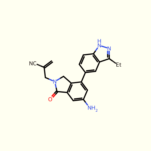 C=C(C#N)CN1Cc2c(cc(N)cc2-c2ccc3[nH]nc(CC)c3c2)C1=O